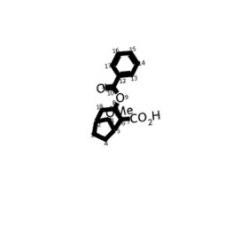 COC1C2CCC1C(C(=O)O)C(OC(=O)c1ccccc1)C2